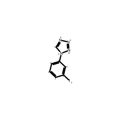 Ic1cccc(-n2cnnn2)c1